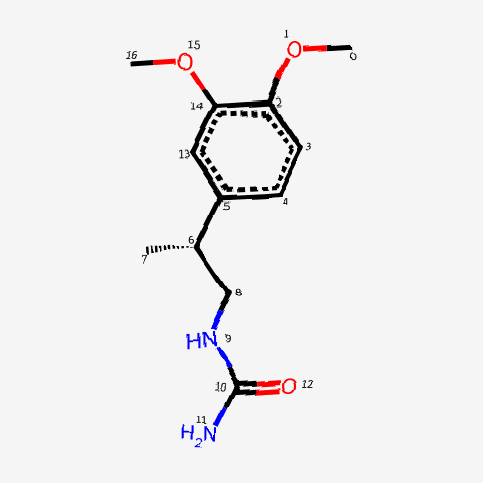 COc1ccc([C@@H](C)CNC(N)=O)cc1OC